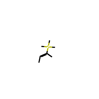 C/C=C(\C)S(C)(C)C